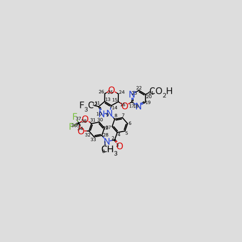 CN(C(=O)c1cccc(-n2nc(C(F)(F)F)c3c2C(Oc2ncc(C(=O)O)cn2)COC3)c1)c1ccc2c(c1)OC(F)(F)O2